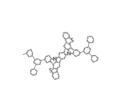 Cc1cccc(-c2cc(-c3ccccc3)cc(-c3ccc4c(c3)c3c5sc6ccccc6c5cc5c6cc7c(cc6n4c53)c3cc4c5ccccc5sc4c4c5cc(-c6cc(-c8ccccc8)cc(-c8ccccc8)c6)ccc5n7c34)c2)c1